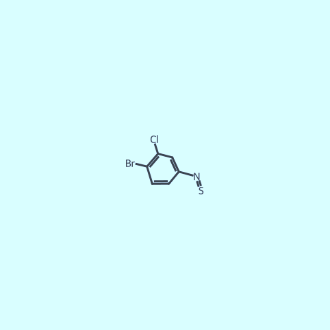 S=Nc1ccc(Br)c(Cl)c1